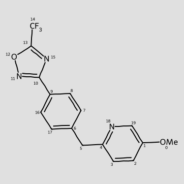 COc1ccc(Cc2ccc(-c3noc(C(F)(F)F)n3)cc2)nc1